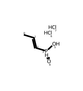 CC=C[PH](=O)O.Cl.Cl